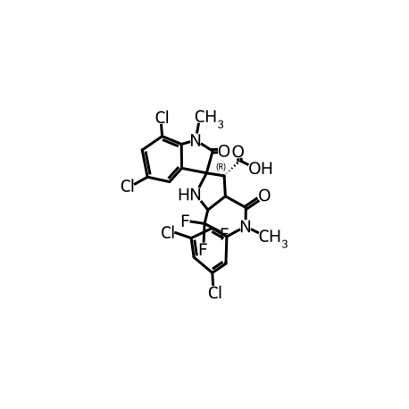 CN(C(=O)C1C(C(F)(F)F)NC2(C(=O)N(C)c3c(Cl)cc(Cl)cc32)[C@@H]1C(=O)O)c1cc(Cl)cc(Cl)c1